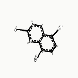 Clc1ncc2c(Cl)ccc(Br)c2n1